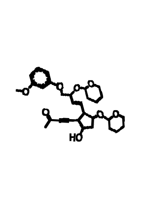 COc1cccc(OCC(C=CC2C(OC3CCCCO3)CC(O)C2C#CC(C)=O)OC2CCCCO2)c1